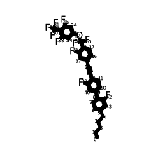 CCCCCc1ccc(-c2ccc(C#Cc3ccc(C(F)(F)Oc4cc(F)c(C(F)(F)F)c(F)c4)c(F)c3)c(F)c2)c(F)c1